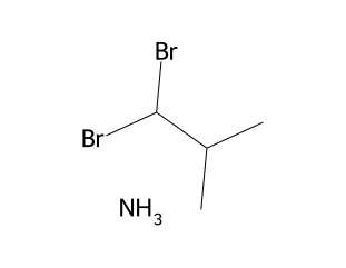 CC(C)C(Br)Br.N